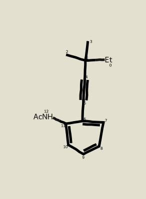 CCC(C)(C)C#Cc1ccccc1NC(C)=O